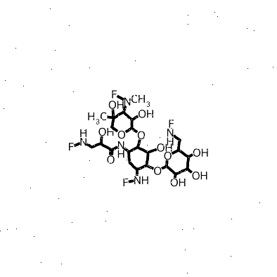 CN(F)C1C(O)C(OC2C(NC(=O)C(O)CNF)CC(NF)C(OC3OC(CNF)C(O)C(O)C3O)C2O)OCC1(C)O